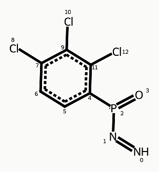 N=N[P](=O)c1ccc(Cl)c(Cl)c1Cl